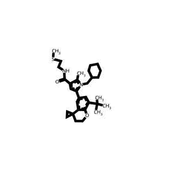 CSCCNC(=O)c1cc(-c2cc(C(C)(C)C)c3c(c2)C2(CCO3)CC2)n(CC2CCCCC2)c1C